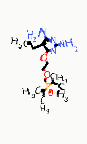 C=CCc1c(N)nc(N)nc1OCCOCP(=O)(C(C)C)C(C)C